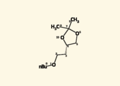 CCCCOCC[C@H]1COC(C)(C)O1